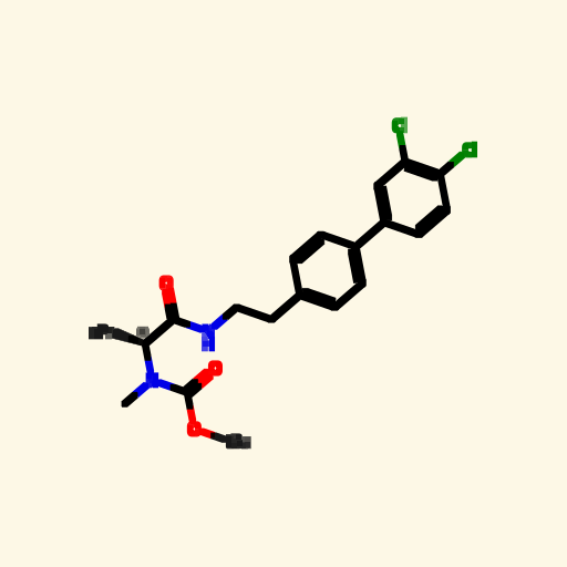 CCC[C@@H](C(=O)NCCc1ccc(-c2ccc(Cl)c(Cl)c2)cc1)N(C)C(=O)OC(C)(C)C